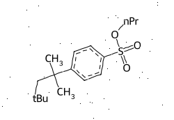 CCCOS(=O)(=O)c1ccc(C(C)(C)CC(C)(C)C)cc1